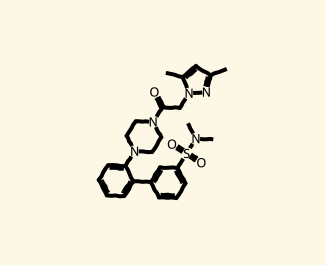 Cc1cc(C)n(CC(=O)N2CCN(c3ccccc3-c3cccc(S(=O)(=O)N(C)C)c3)CC2)n1